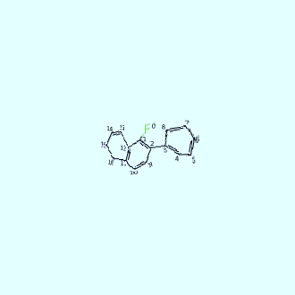 Fc1c(-c2ccccc2)ccc2c1C=CCC2